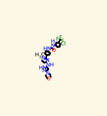 Cc1cc(NC(=O)Nc2ccc(Cl)c(C(F)(F)F)c2)ccc1-c1nccc(Nc2cc(N3CCOCC3)n[nH]2)n1